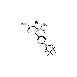 CCCCC(=O)N(Cc1ccc(B2OC(C)(C)C(C)(C)O2)cc1)[C@H](C(=O)OC)C(C)C